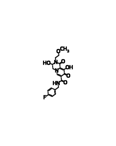 COCCN1C(=O)c2c(O)c(=O)c(C(=O)NCc3ccc(F)cc3)cn2CC1O